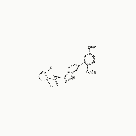 COc1ccc(OC)c(-c2ccc3c(NC(=O)c4c(F)cccc4Cl)n[nH]c3c2)c1